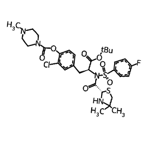 CN1CCN(C(=O)Oc2ccc(C[C@@H](C(=O)OC(C)(C)C)N(C(=O)[C@H]3NC(C)(C)CS3)S(=O)(=O)c3ccc(F)cc3)cc2Cl)CC1